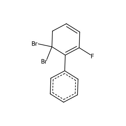 FC1=C(c2ccccc2)C(Br)(Br)CC=C1